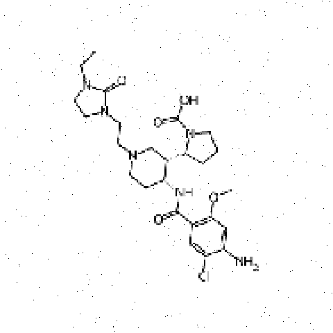 CCN1CCN(CCN2CC[C@@H](NC(=O)c3cc(Cl)c(N)cc3OC)[C@@H](C3CCCN3C(=O)O)C2)C1=O